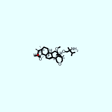 CO[C@@H]1C[C@@]23COC[C@](C)([C@@H]2CC[C@H]2C3=CC[C@@]3(C)[C@H](C(=O)O)[C@@](C)([C@H](C)C(C)C)CC[C@]23C)[C@H]1OCC(C)(N)C(C)C